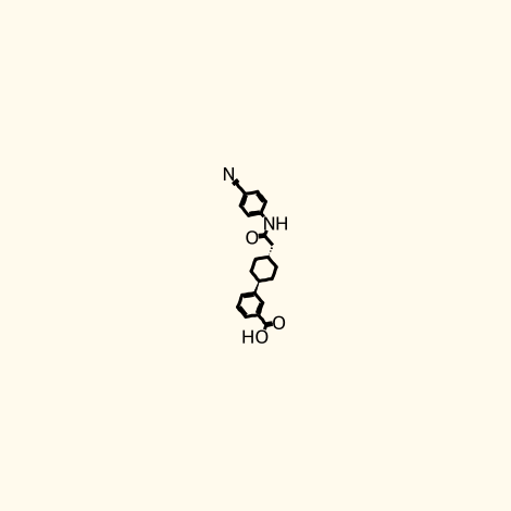 N#Cc1ccc(NC(=O)C[C@H]2CC[C@H](c3cccc(C(=O)O)c3)CC2)cc1